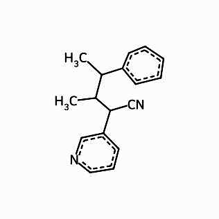 CC(c1ccccc1)C(C)C(C#N)c1cccnc1